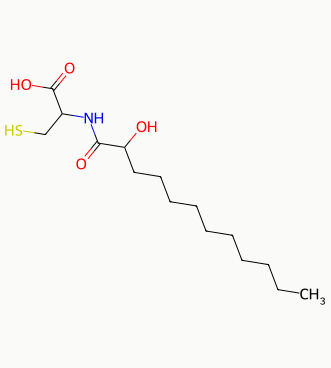 CCCCCCCCCCC(O)C(=O)NC(CS)C(=O)O